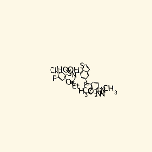 CC[C@@H]1CN(Cc2cc([C@H](CC(=O)O)c3ccc4c(nnn4C)c3C)cc3ccsc23)S(O)(O)c2cc(Cl)c(F)cc2O1